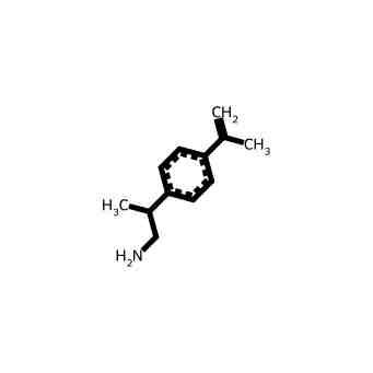 C=C(C)c1ccc(C(C)CN)cc1